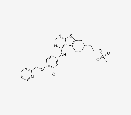 CS(=O)(=O)OCCC1CCc2c(sc3ncnc(Nc4ccc(OCc5ccccn5)c(Cl)c4)c23)C1